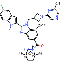 COc1cc(C(=O)N2C[C@H]3CC[C@@H]2[C@@H]3N)cc2nc(-c3cc4cc(Cl)ccc4n3C)n(CC3CN(c4cncc(C#N)n4)C3)c12